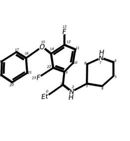 CCC(NC1CCCNC1)c1ccc(F)c(Oc2ccccc2)c1F